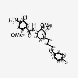 COc1cc(N)c(Cl)cc1C(=O)N[C@H]1CCN(CCCOc2ccc(C)nc2)C[C@H]1OC.O